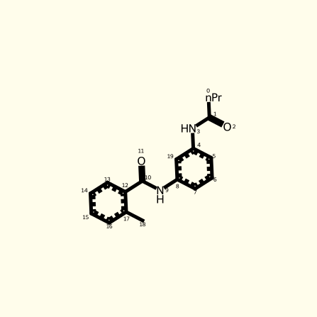 CCCC(=O)Nc1cccc(NC(=O)c2ccccc2C)c1